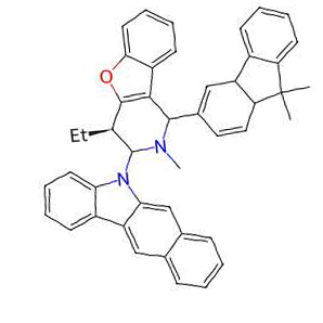 CC[C@H]1c2oc3ccccc3c2C(C2=CC3c4ccccc4C(C)(C)C3C=C2)N(C)C1n1c2ccccc2c2cc3ccccc3cc21